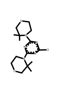 CC1(C)COCCN1c1nc(Cl)nc(N2CCOCC2(C)C)n1